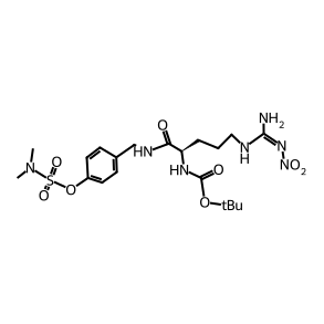 CN(C)S(=O)(=O)Oc1ccc(CNC(=O)[C@@H](CCCN/C(N)=N\[N+](=O)[O-])NC(=O)OC(C)(C)C)cc1